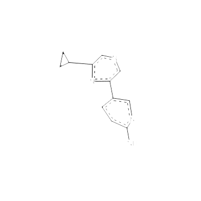 Nc1ccc(-c2cncc(C3CC3)n2)cn1